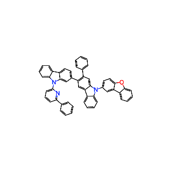 c1ccc(-c2cccc(-n3c4ccccc4c4ccc(-c5cc6c7ccccc7n(-c7ccc8oc9ccccc9c8c7)c6cc5-c5ccccc5)cc43)n2)cc1